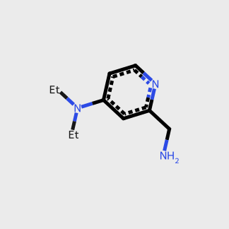 CCN(CC)c1ccnc(CN)c1